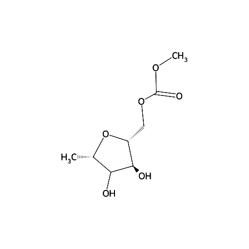 COC(=O)OC[C@H]1O[C@@H](C)C(O)[C@@H]1O